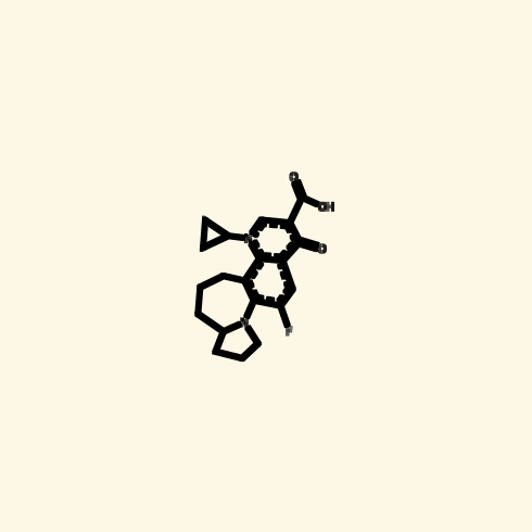 O=C(O)c1cn(C2CC2)c2c3c(c(F)cc2c1=O)N1CCCC1CCC3